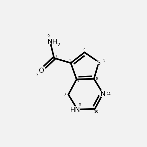 NC(=O)c1csc2c1CNC=N2